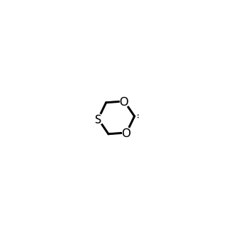 [C]1OCSCO1